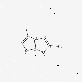 Cc1coc2oc(F)cc12